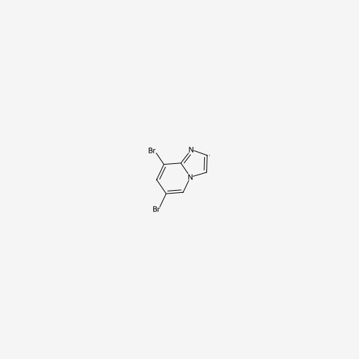 Brc1cc(Br)c2n[c]cn2c1